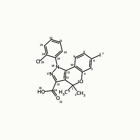 CC1(C)Oc2cc(I)ccc2-c2c1c(C(=O)O)nn2-c1ccccc1Cl